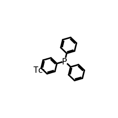 [Tc].c1ccc(P(c2ccccc2)c2ccccc2)cc1